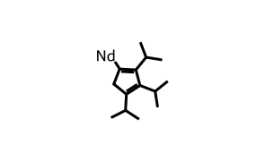 CC(C)C1=C(C(C)C)C(C(C)C)=[C]([Nd])C1